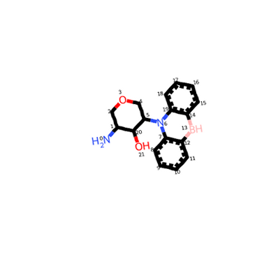 NC1COCC(N2c3ccccc3Bc3ccccc32)C1O